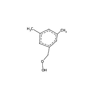 Cc1cc(C)cc(COO)c1